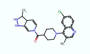 N#Cc1cnc2ccc(Cl)cc2c1N1CCC(C(=O)N2C=CC3C(=C2)NNC3C(F)(F)F)CC1